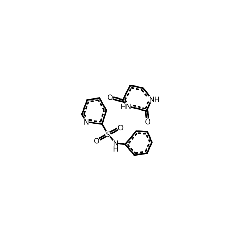 O=S(=O)(Nc1ccccc1)c1ccccn1.O=c1cc[nH]c(=O)[nH]1